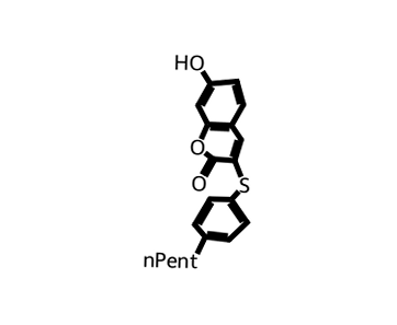 CCCCCc1ccc(Sc2cc3ccc(O)cc3oc2=O)cc1